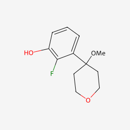 COC1(c2cccc(O)c2F)CCOCC1